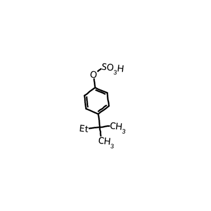 CCC(C)(C)c1ccc(OS(=O)(=O)O)cc1